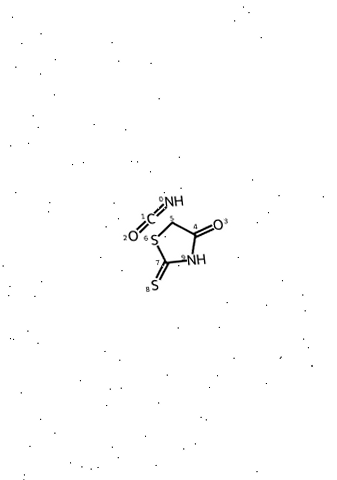 N=C=O.O=C1CSC(=S)N1